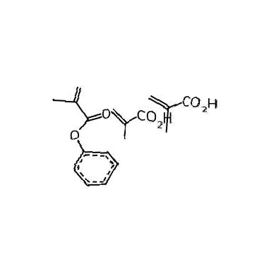 C=C(C)C(=O)O.C=C(C)C(=O)O.C=C(C)C(=O)Oc1ccccc1